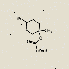 CCCCCC(=O)OC1(C)CCC(C(C)C)CC1